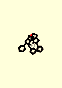 C1=C(c2ccccc2)[CH]([Hf][C]2(Cc3ccccc3)C(c3ccccc3)=Cc3ccccc32)c2ccccc21